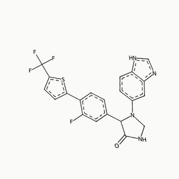 O=C1NCN(c2ccc3[nH]cnc3c2)C1c1ccc(-c2ccc(C(F)(F)F)s2)c(F)c1